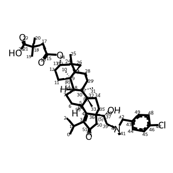 CC(C)C1=C2[C@H]3CC[C@@H]4[C@@]5(C)CC[C@H](OC(=O)CC(C)(C)C(=O)O)C6(C)C[C@]65CC[C@@]4(C)[C@]3(C)CCC2([C@H](O)CN(C)Cc2ccc(Cl)cc2)CC1=O